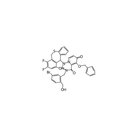 O=C1c2c(OCc3ccccc3)c(=O)ccn2N(C2c3ccccc3SCc3c(F)c(F)cc(O)c32)CN1Cc1cc(Br)ccc1CO